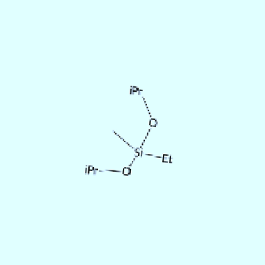 [CH2]C[Si](C)(OC(C)C)OC(C)C